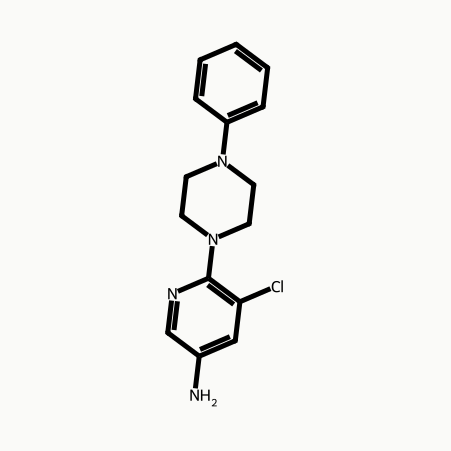 Nc1cnc(N2CCN(c3ccccc3)CC2)c(Cl)c1